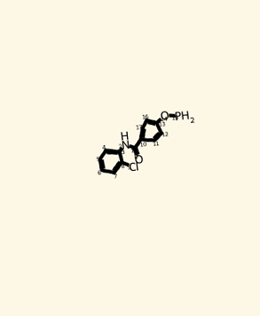 O=C(Nc1ccccc1Cl)c1ccc(OP)cc1